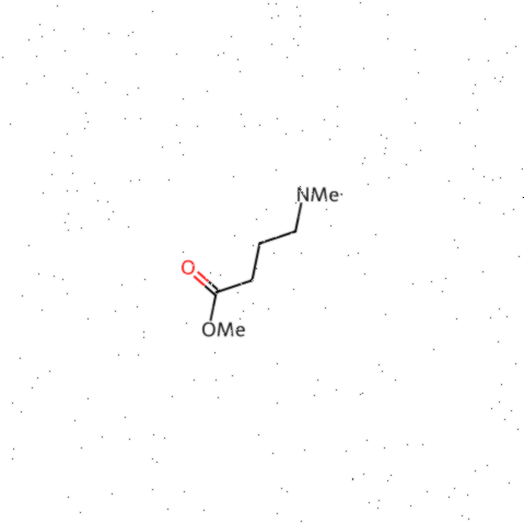 C[N]CCCC(=O)OC